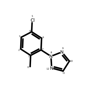 Cc1ccc(Cl)cc1-n1nccn1